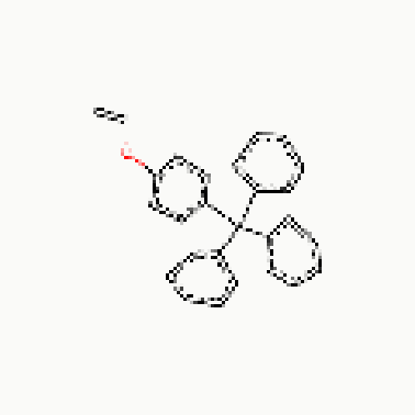 C=COc1ccc(C(c2ccccc2)(c2ccccc2)c2ccccc2)cc1